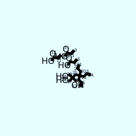 C=CC(=O)O.C=CC(=O)O.C=CC(=O)O.C=CCC(CC=C)(CC=C)CC(CO)(CO)CO